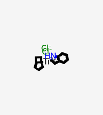 C1=C[C]2([Ti+2][c]3cc4ccccc4[nH]3)CCC2=C1.[Cl-].[Cl-]